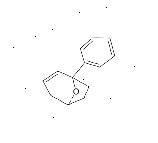 C1=CC2(c3ccccc3)CCC(C1)O2